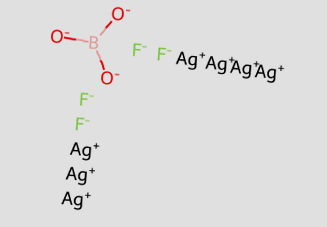 [Ag+].[Ag+].[Ag+].[Ag+].[Ag+].[Ag+].[Ag+].[F-].[F-].[F-].[F-].[O-]B([O-])[O-]